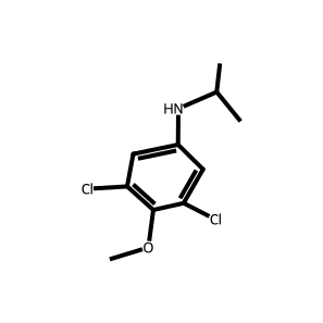 COc1c(Cl)cc(NC(C)C)cc1Cl